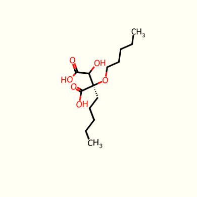 CCCCCO[C@@](CCCCC)(C(=O)O)C(O)C(=O)O